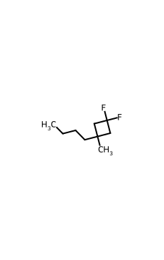 CCCCC1(C)CC(F)(F)C1